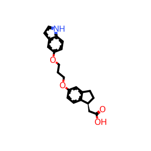 O=C(O)C[C@@H]1CCc2cc(OCCCOc3ccc4[nH]ccc4c3)ccc21